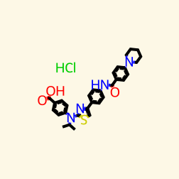 CC(C)N(c1ccc(C(=O)O)cc1)c1nc(-c2ccc(NC(=O)c3ccc(N4CCCCC4)cc3)cc2)cs1.Cl